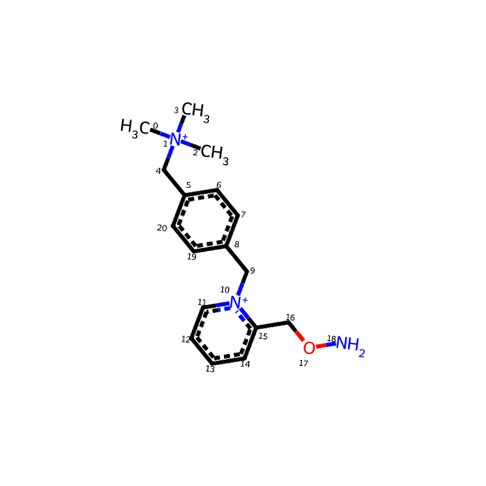 C[N+](C)(C)Cc1ccc(C[n+]2ccccc2CON)cc1